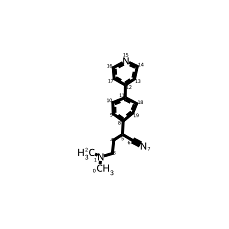 CN(C)CCC(C#N)c1ccc(-c2ccncc2)cc1